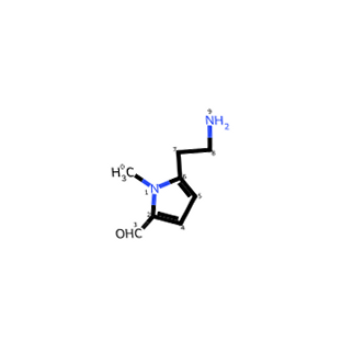 Cn1c(C=O)ccc1CCN